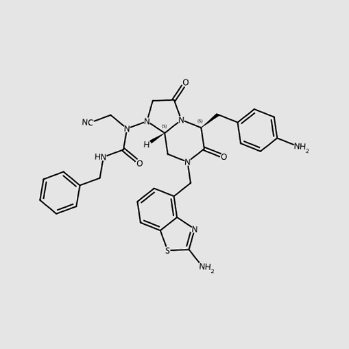 N#CCN(C(=O)NCc1ccccc1)N1CC(=O)N2[C@@H](Cc3ccc(N)cc3)C(=O)N(Cc3cccc4sc(N)nc34)C[C@@H]21